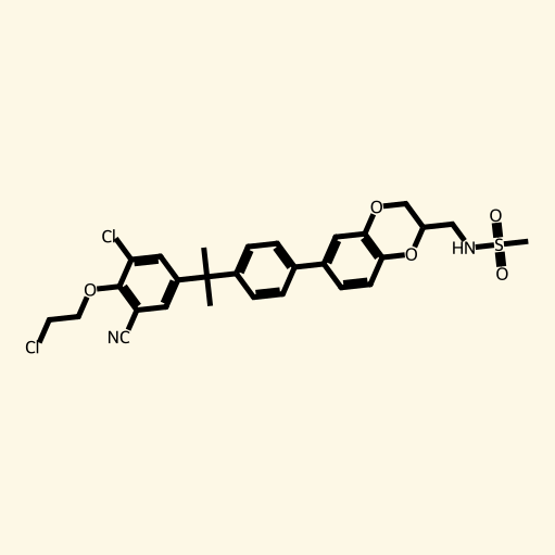 CC(C)(c1ccc(-c2ccc3c(c2)OCC(CNS(C)(=O)=O)O3)cc1)c1cc(Cl)c(OCCCl)c(C#N)c1